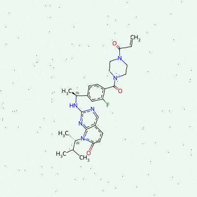 C=CC(=O)N1CCN(C(=O)c2ccc([C@H](C)Nc3ncc4ccc(=O)n([C@@H](C)C(C)C)c4n3)cc2F)CC1